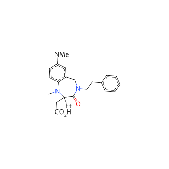 CCC1(CC(=O)O)C(=O)N(CCc2ccccc2)Cc2cc(NC)ccc2N1C